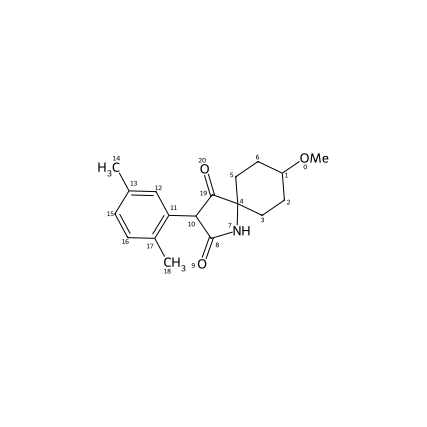 COC1CCC2(CC1)NC(=O)C(c1cc(C)ccc1C)C2=O